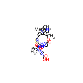 CCn1c(-c2cccnc2[C@H](C)OC)c2c3cc(ccc31)-c1csc(n1)C[C@H](NC(=O)C(C(C)C)N(C)C(=O)N1CCN(C(=O)CO)CC1)C(=O)N1CCC[C@H](N1)C(=O)OCC(C)(C)C2